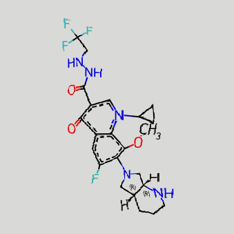 COc1c(N2C[C@H]3CCCN[C@H]3C2)c(F)cc2c(=O)c(C(=O)NNCC(F)(F)F)cn(C3CC3)c12